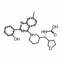 Cc1ccc2c(N3CCCC([C@H](NC(=O)O)C4CCOC4)C3)nc(-c3ccccc3O)nc2c1